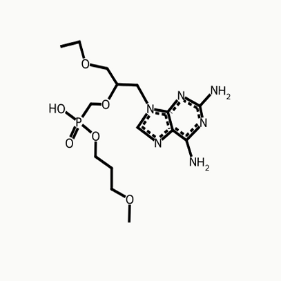 CCOCC(Cn1cnc2c(N)nc(N)nc21)OCP(=O)(O)OCCCOC